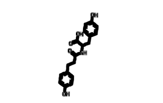 O=C(CCc1ccc(O)cc1)NC(Cc1ccc(O)cc1)C(=O)O